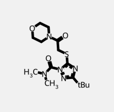 CN(C)C(=O)n1nc(C(C)(C)C)nc1SCC(=O)N1CCOCC1